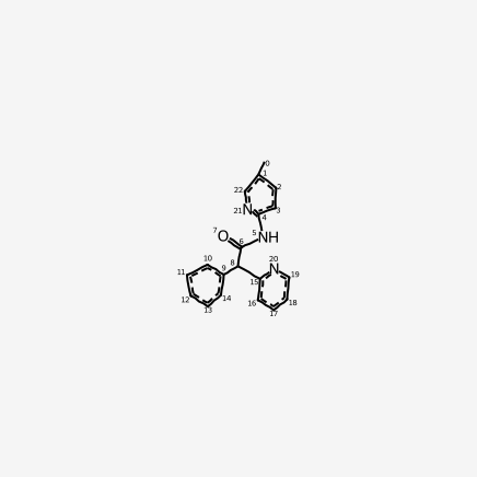 Cc1ccc(NC(=O)C(c2ccccc2)c2ccccn2)nc1